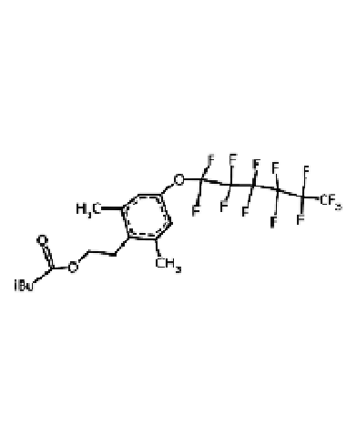 CCC(C)C(=O)OCCc1c(C)cc(OC(F)(F)C(F)(F)C(F)(F)C(F)(F)C(F)(F)C(F)(F)F)cc1C